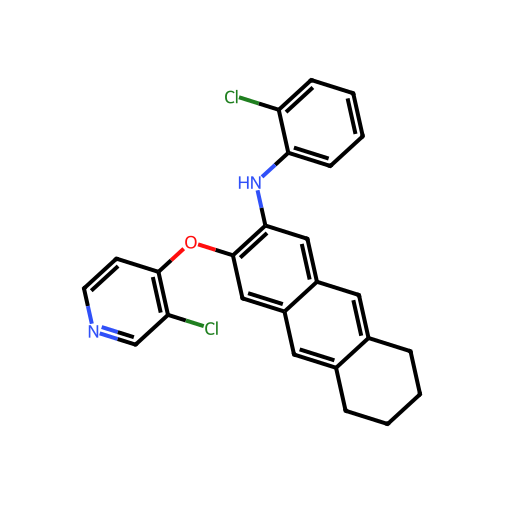 Clc1ccccc1Nc1cc2cc3c(cc2cc1Oc1ccncc1Cl)CCCC3